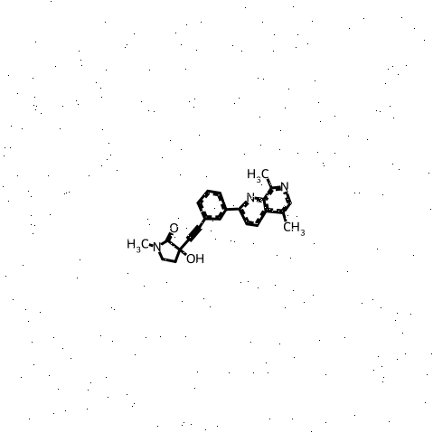 Cc1cnc(C)c2nc(-c3cccc(C#CC4(O)CCN(C)C4=O)c3)ccc12